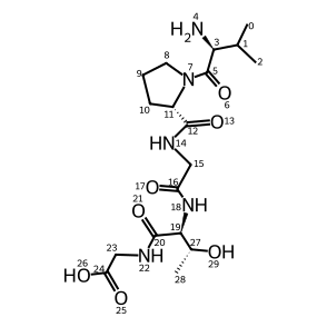 CC(C)[C@H](N)C(=O)N1CCC[C@H]1C(=O)NCC(=O)N[C@H](C(=O)NCC(=O)O)[C@@H](C)O